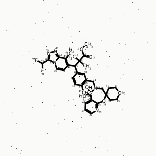 COC(=O)C(C)(C)C(c1ccc(C)c(CN2CC3(CCOCC3)Oc3ncccc3S2(O)O)c1)c1ccn2c(C(F)F)nnc2c1C